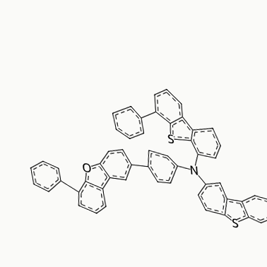 c1ccc(-c2cccc3c2oc2ccc(-c4ccc(N(c5ccc6sc7ccccc7c6c5)c5cccc6c5sc5c(-c7ccccc7)cccc56)cc4)cc23)cc1